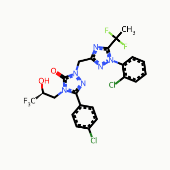 CC(F)(F)c1nc(Cn2nc(-c3ccc(Cl)cc3)n(C[C@H](O)C(F)(F)F)c2=O)nn1-c1ccccc1Cl